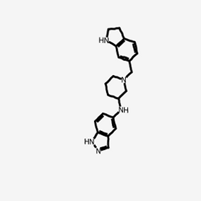 c1cc2c(cc1CN1CCCC(Nc3ccc4[nH]ncc4c3)C1)NCC2